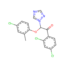 Cc1cc(Cl)ccc1OC(C(=O)c1ccc(Cl)cc1Cl)n1cncn1